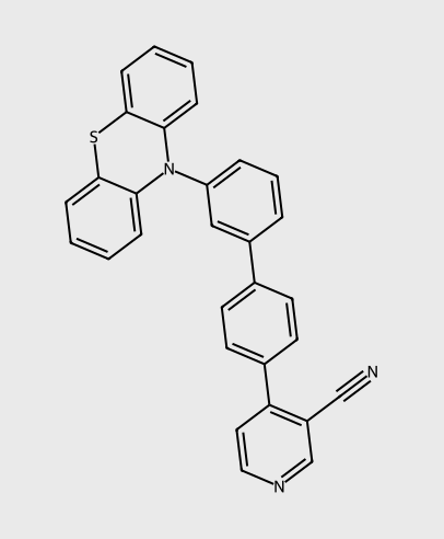 N#Cc1cnccc1-c1ccc(-c2cccc(N3c4ccccc4Sc4ccccc43)c2)cc1